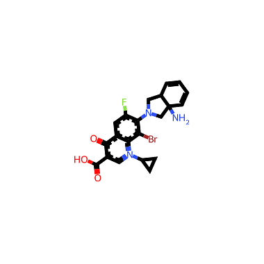 NC12C=CC=CC1CN(c1c(F)cc3c(=O)c(C(=O)O)cn(C4CC4)c3c1Br)C2